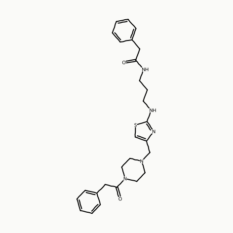 O=C(Cc1ccccc1)NCCCNc1nc(CN2CCN(C(=O)Cc3ccccc3)CC2)cs1